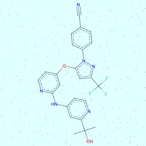 CC(C)(O)c1cc(Nc2cc(Oc3cc(C(F)(F)F)nn3-c3ccc(C#N)cc3)ccn2)ccn1